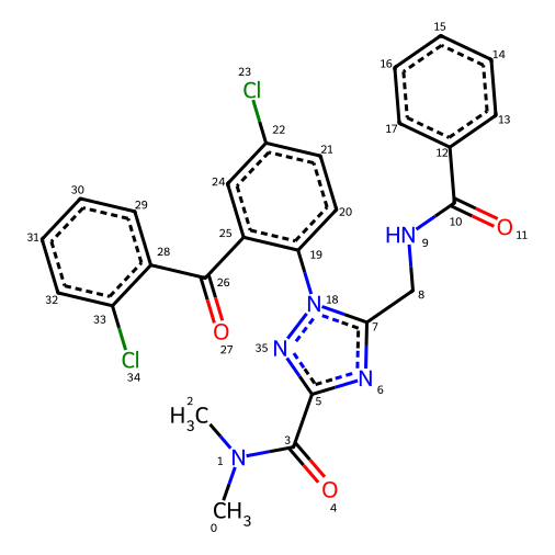 CN(C)C(=O)c1nc(CNC(=O)c2ccccc2)n(-c2ccc(Cl)cc2C(=O)c2ccccc2Cl)n1